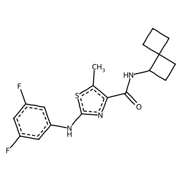 Cc1sc(Nc2cc(F)cc(F)c2)nc1C(=O)NC1CCC12CCC2